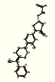 CC(=S)NC[C@H]1CN(c2ccc(N3CCC(=C(C#N)c4ccccn4)CC3)c(F)c2)C(=O)O1